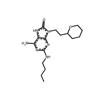 CCCCNc1nc(N)c2[nH]c(=O)n(CCC3CCCCO3)c2n1